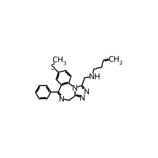 C=CCCNCc1nnc2n1-c1ccc(SC)cc1C(c1ccccc1)=NC2